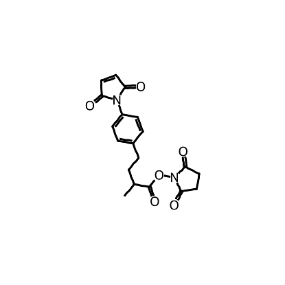 CC(CCc1ccc(N2C(=O)C=CC2=O)cc1)C(=O)ON1C(=O)CCC1=O